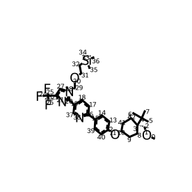 COC[C@]1(C(C)(C)C)CC[C@H](Oc2ccc(-c3ccc(-c4nc(C(F)(F)F)cn4COCC[Si](C)(C)C)cn3)cc2)CC1